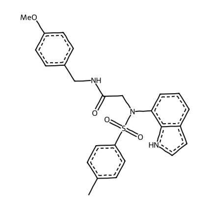 COc1ccc(CNC(=O)CN(c2cccc3cc[nH]c23)S(=O)(=O)c2ccc(C)cc2)cc1